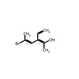 C=CC(/C=C(\C)Br)=C(/C)O